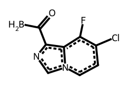 BC(=O)c1ncn2ccc(Cl)c(F)c12